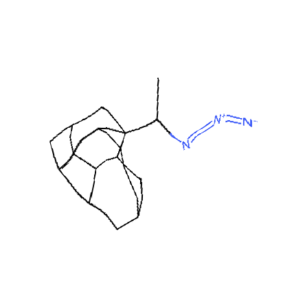 CC(N=[N+]=[N-])C12CC3CC4C5CC(CC41)CC2C5C3